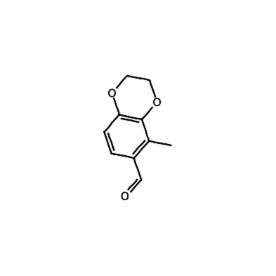 Cc1c(C=O)ccc2c1OCCO2